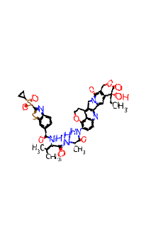 CC[C@@]1(O)C(=O)OCc2c1cc1n(c2=O)Cc2c-1nc1ccc(NC(=O)[C@H](C)NC(=O)[C@@H](NC(=O)c3ccc4nc(S(=O)(=O)C5CC5)sc4c3)C(C)C)c3c1c2CCO3